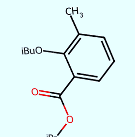 Cc1cccc(C(=O)OC(C)C)c1OCC(C)C